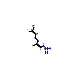 CNCC=C(C)CCC=C(C)C